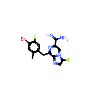 Cc1cc(Br)c(F)cc1Cc1nc(C(=N)N)cn2c(F)cnc12